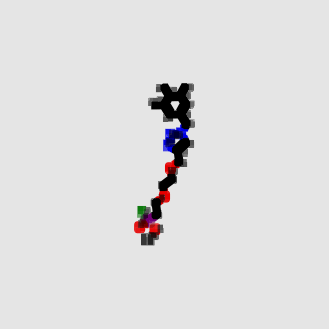 CCOP(=O)(F)CCOCCOCc1cn(Cc2cc(C)c(C)c(C)c2)nn1